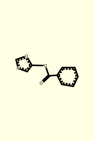 O=C(Oc1cnco1)c1ccccc1